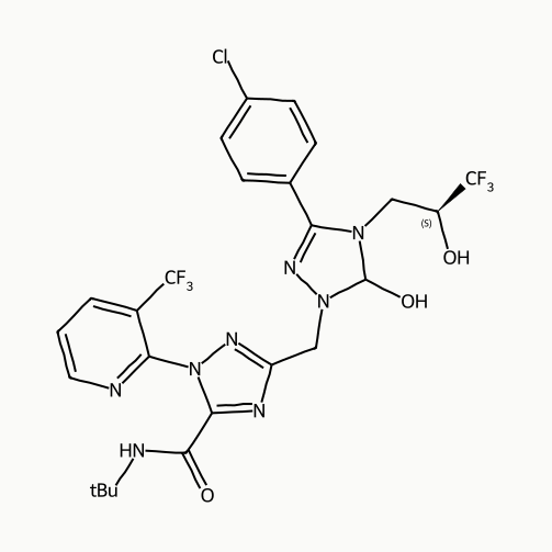 CC(C)(C)NC(=O)c1nc(CN2N=C(c3ccc(Cl)cc3)N(C[C@H](O)C(F)(F)F)C2O)nn1-c1ncccc1C(F)(F)F